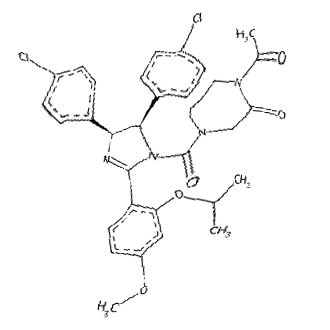 COc1ccc(C2=N[C@@H](c3ccc(Cl)cc3)[C@@H](c3ccc(Cl)cc3)N2C(=O)N2CCN(C(C)=O)C(=O)C2)c(OC(C)C)c1